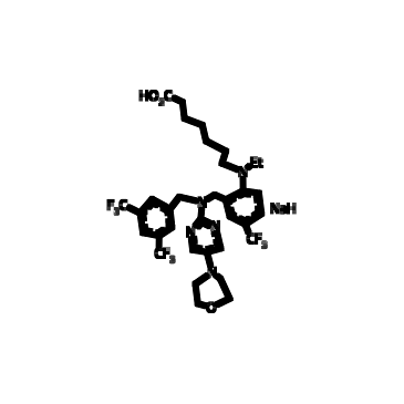 CCN(CCCCCCC(=O)O)c1ccc(C(F)(F)F)cc1CN(Cc1cc(C(F)(F)F)cc(C(F)(F)F)c1)c1ncc(N2CCOCC2)cn1.[NaH]